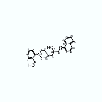 OCc1ccccc1N1CCN(CC(O)COc2cccc3ccccc23)CC1